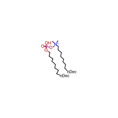 CCCCCCCCCCCCCCCCCCOP(=O)([O-])O.CCCCCCCCCCCCCCCCCC[N+](C)(C)C